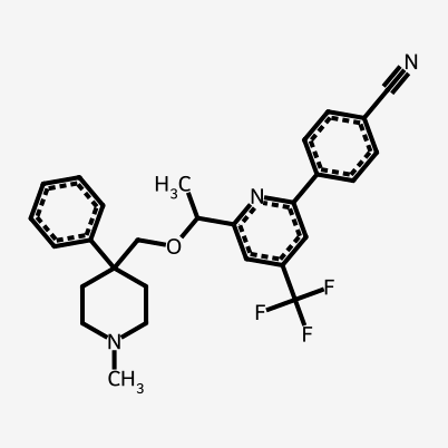 CC(OCC1(c2ccccc2)CCN(C)CC1)c1cc(C(F)(F)F)cc(-c2ccc(C#N)cc2)n1